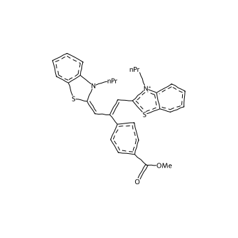 CCCN1/C(=C\C(=C\c2sc3ccccc3[n+]2CCC)c2ccc(C(=O)OC)cc2)Sc2ccccc21